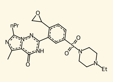 CCCc1nc(C)c2c(=O)[nH]c(-c3cc(S(=O)(=O)N4CCN(CC)CC4)ccc3C3CO3)nn12